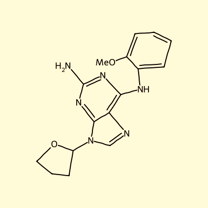 COc1ccccc1Nc1nc(N)nc2c1ncn2C1CCCO1